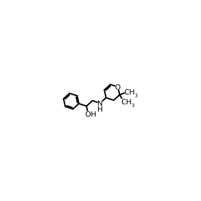 CC1(C)CC(NCC(O)c2ccccc2)C=CO1